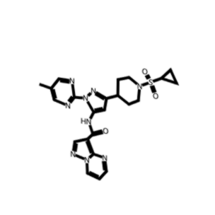 Cc1cnc(-n2nc(C3CCN(S(=O)(=O)C4CC4)CC3)cc2NC(=O)c2cnn3cccnc23)nc1